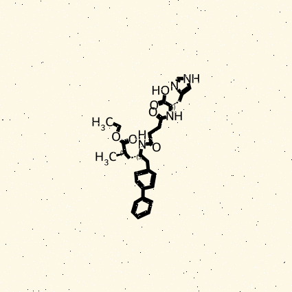 CCOC(=O)[C@H](C)C[C@@H](Cc1ccc(-c2ccccc2)cc1)NC(=O)CCC(=O)N[C@@H](Cc1c[nH]cn1)C(=O)O